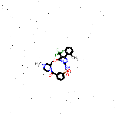 Cc1ccccc1-c1nc2nc(c1C(F)(F)F)OCC1CN(C)CCN1C(=O)c1cccc(c1)S(=O)(=O)N2